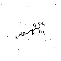 CCC(C)C(=O)NCCNCCBr